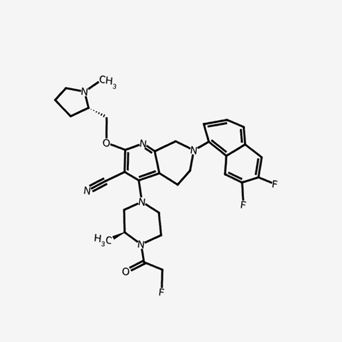 C[C@H]1CN(c2c(C#N)c(OC[C@@H]3CCCN3C)nc3c2CCN(c2cccc4cc(F)c(F)cc24)C3)CCN1C(=O)CF